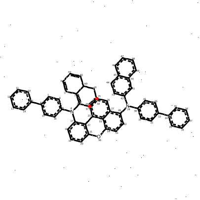 C1=CC2=C(N(c3ccc(-c4ccccc4)cc3)c3cccc4c3-c3cccc5c(N(c6ccc(-c7ccccc7)cc6)c6ccc7ccccc7c6)ccc(c35)O4)C=CCC2C=C1